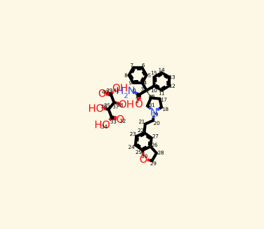 NC(=O)C(c1ccccc1)(c1ccccc1)[C@@H]1CCN(CCc2ccc3c(c2)CCO3)C1.O=C(O)C(O)C(O)C(=O)O